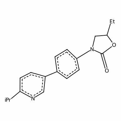 CCC1CN(c2ccc(-c3ccc(C(C)C)nc3)cc2)C(=O)O1